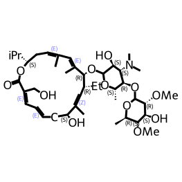 CC[C@@H]1/C=C(/C)[C@@H](O)C/C=C/C=C(\CO)C(=O)O[C@H](C(C)C)C/C=C(C)/C=C(\C)[C@@H]1OC1O[C@@H](C)[C@H](OC2O[C@H](C)[C@@H](OC)[C@H](O)[C@H]2OC)[C@@H](N(C)C)[C@@H]1O